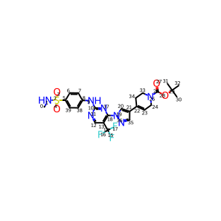 CNS(=O)(=O)c1ccc(Nc2ncc(C(F)(F)F)c(-n3cc(C4=CCN(C(=O)OC(C)(C)C)CC4)cn3)n2)cc1